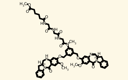 COC(=O)CCCCC(=O)NCC(=O)NCC(=O)NCC(=O)N(C)c1cc(COc2cc3c(cc2OC)C(=O)N2c4ccccc4C[C@H]2C=N3)cc(COc2cc3c(cc2OC)C(=O)N2c4ccccc4C[C@H]2CN3)c1